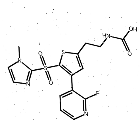 Cn1ccnc1S(=O)(=O)c1sc(CCNC(=O)O)cc1-c1cccnc1F